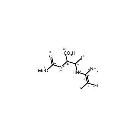 CC/C(C)=C(\N)NC(I)C(NC(=O)OC)C(=O)O